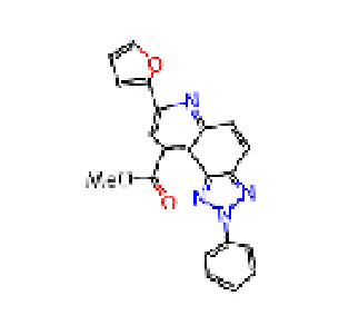 COC(=O)c1cc(-c2ccco2)nc2ccc3nn(-c4ccccc4)nc3c12